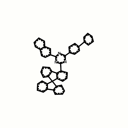 c1ccc(-c2ccc(-c3nc(-c4ccc5ccccc5c4)nc(-c4cccc5c4-c4ccccc4C54c5ccccc5-c5ccccc54)n3)cc2)cc1